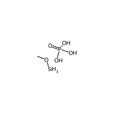 CO[SiH3].O=P(O)(O)O